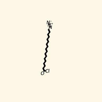 [N-]=[N+]=NCCCCCCCCCCCCCCCCCC(=O)Cl